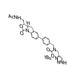 CC(=O)NC[C@@H]1OC(=O)N2c3ccc(-c4ccc(CN(Cc5c[nH]nn5)C(=O)OC(C)(C)C)cc4)cc3C[C@@H]12